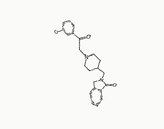 O=C(CN1CCC(CN2Cc3ccccc3C2=O)CC1)c1cccc(Cl)c1